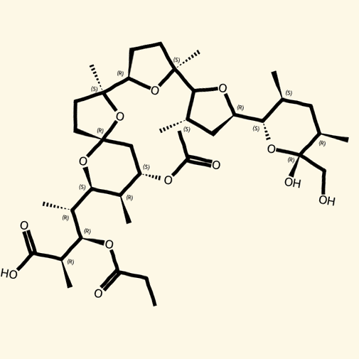 CCC(=O)O[C@H]([C@H](C)[C@H]1O[C@@]2(CC[C@@](C)([C@H]3CC[C@@](C)(C4O[C@@H]([C@H]5O[C@@](O)(CO)[C@H](C)C[C@@H]5C)C[C@@H]4C)O3)O2)C[C@H](OC(C)=O)[C@H]1C)[C@@H](C)C(=O)O